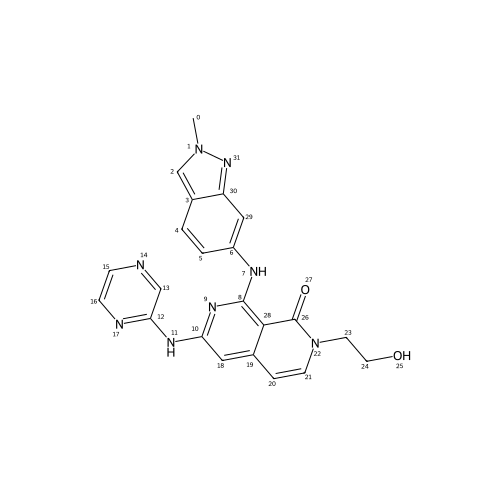 Cn1cc2ccc(Nc3nc(Nc4cnccn4)cc4ccn(CCO)c(=O)c34)cc2n1